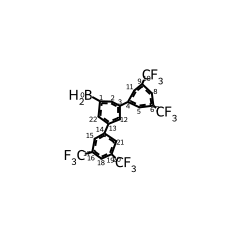 Bc1cc(-c2cc(C(F)(F)F)cc(C(F)(F)F)c2)cc(-c2cc(C(F)(F)F)cc(C(F)(F)F)c2)c1